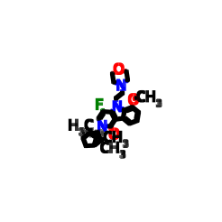 COc1cccc2c3c(=O)n([C@@H]4C(C)(C)C5CC[C@@]4(C)C5)cc(F)c3n(CCN3CCOCC3)c12